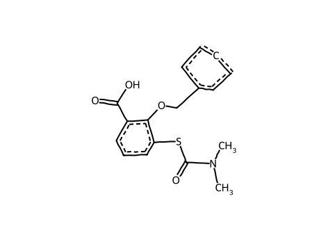 CN(C)C(=O)Sc1cccc(C(=O)O)c1OCc1ccccc1